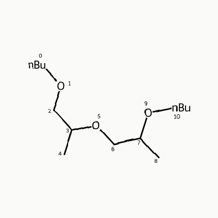 CCCCOCC(C)OCC(C)OCCCC